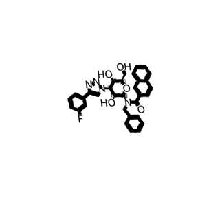 O=C(c1ccc2ccccc2c1)N(Cc1ccccc1)[C@@H]1O[C@H](CO)[C@H](O)[C@H](n2cc(-c3cccc(F)c3)nn2)[C@H]1O